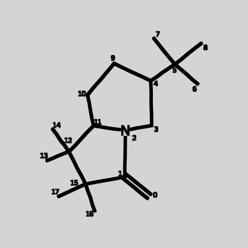 C=C1N2CC(C(C)(C)C)CCC2C(C)(C)C1(C)C